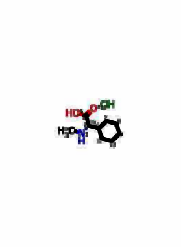 CN[C@H](C(=O)O)C1CCCCC1.Cl